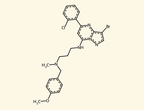 COc1ccc(CN(C)CCCNc2cc(-c3ccccc3Cl)nc3c(Br)cnn23)cc1